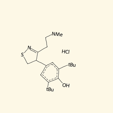 CNCCC1=NSCC1c1cc(C(C)(C)C)c(O)c(C(C)(C)C)c1.Cl